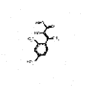 COC(=O)C(O)=C(C)c1ccc(C(=O)O)cc1[N+](=O)[O-]